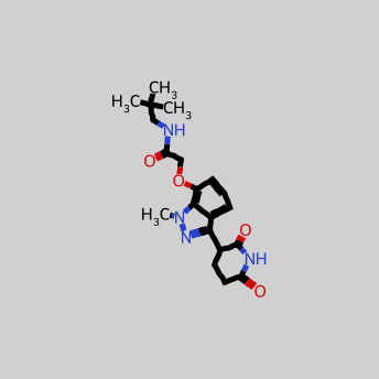 Cn1nc(C2CCC(=O)NC2=O)c2cccc(OCC(=O)NCC(C)(C)C)c21